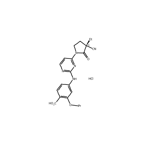 CC[C@]1(C#N)CCN(c2ccnc(Nc3ccc(C(=O)O)c(OC(C)C)c3)n2)C1=O.Cl